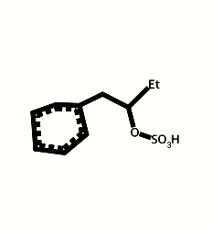 CCC(Cc1ccccc1)OS(=O)(=O)O